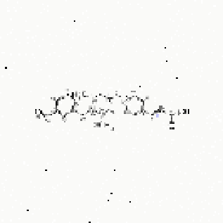 C[C@@H]1CN(Cc2ccc(/C=C/C(=O)O)cc2)C[C@H](C)N1Cc1cccc(C=O)c1